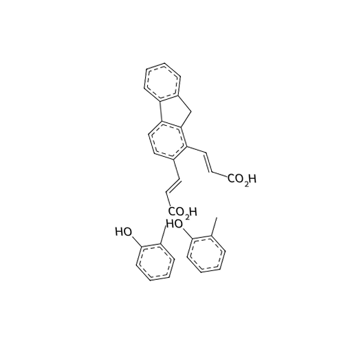 Cc1ccccc1O.Cc1ccccc1O.O=C(O)C=Cc1ccc2c(c1C=CC(=O)O)Cc1ccccc1-2